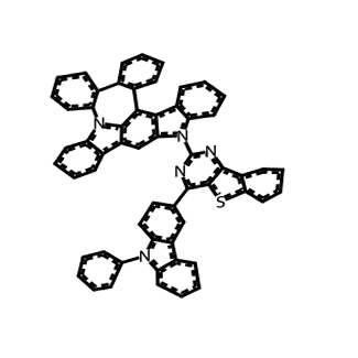 c1ccc(-n2c3ccccc3c3cc(-c4nc(-n5c6ccccc6c6c7c8c(cc65)c5ccccc5n8-c5ccccc5-c5ccccc5-7)nc5c4sc4ccccc45)ccc32)cc1